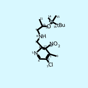 Cc1c(Cl)cnc(CNCC(C)O[Si](C)(C)C(C)(C)C)c1[N+](=O)[O-]